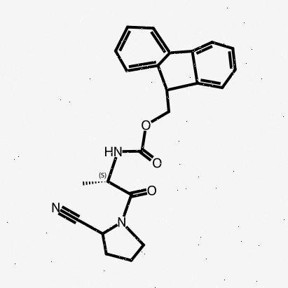 C[C@H](NC(=O)OCC1c2ccccc2-c2ccccc21)C(=O)N1CCCC1C#N